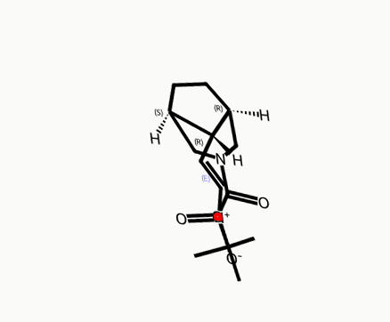 CC(C)(C)OC(=O)N1C[C@H]2CC[C@@H](C1)[C@@H]2/C=C/[N+](=O)[O-]